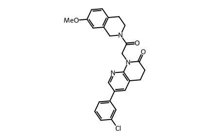 COc1ccc2c(c1)CN(C(=O)CN1C(=O)CCc3cc(-c4cccc(Cl)c4)cnc31)CC2